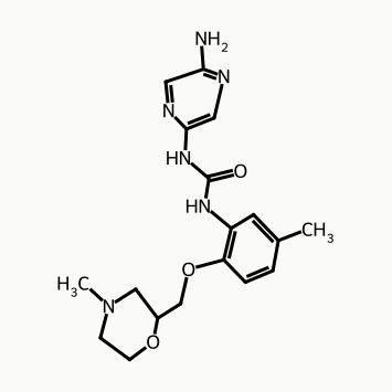 Cc1ccc(OCC2CN(C)CCO2)c(NC(=O)Nc2cnc(N)cn2)c1